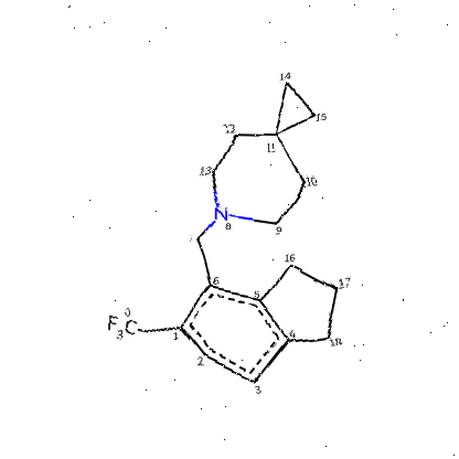 FC(F)(F)c1ccc2c(c1CN1CCC3(CC1)CC3)CCC2